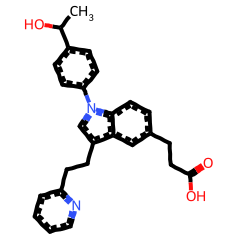 CC(O)c1ccc(-n2cc(CCc3ccccn3)c3cc(CCC(=O)O)ccc32)cc1